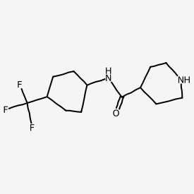 O=C(NC1CCC(C(F)(F)F)CC1)C1CCNCC1